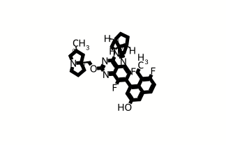 CCc1c(F)ccc2cc(O)cc(-c3c(F)cc4c(N5C[C@H]6CC[C@@H](C5)[C@@H]6C#N)nc(OC[C@@]56CCCN5C[C@H](C)C6)nc4c3F)c12